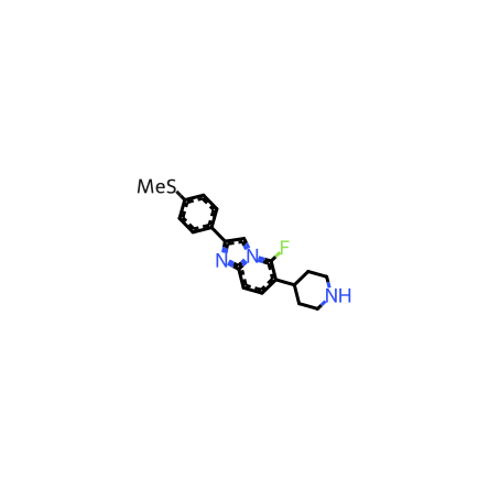 CSc1ccc(-c2cn3c(F)c(C4CCNCC4)ccc3n2)cc1